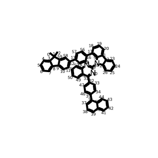 CC1(C)c2ccccc2-c2ccc(-c3ccc(-c4cccc5c6ccccc6n(-c6nc(-c7ccc(-c8cccc9ccccc89)cc7)c7ccccc7n6)c45)cc3)cc21